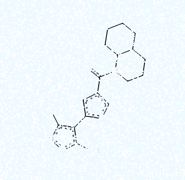 Cc1noc(C)c1-c1cc(C(=O)N2CCCC3CCCCC32)cs1